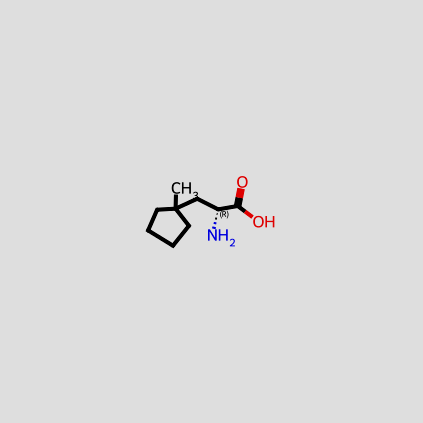 CC1(C[C@@H](N)C(=O)O)CCCC1